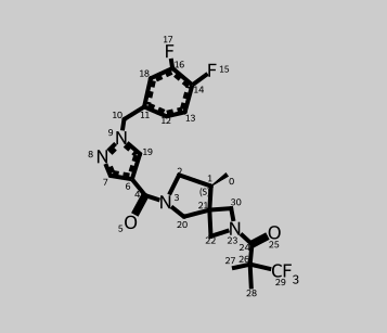 C[C@@H]1CN(C(=O)c2cnn(Cc3ccc(F)c(F)c3)c2)CC12CN(C(=O)C(C)(C)C(F)(F)F)C2